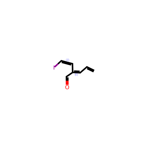 C=C/C=C(C=O)\C=C/I